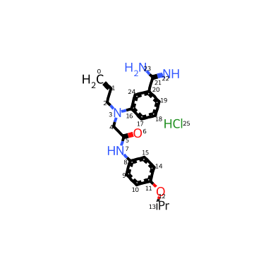 C=CCN(CC(=O)Nc1ccc(OC(C)C)cc1)c1cccc(C(=N)N)c1.Cl